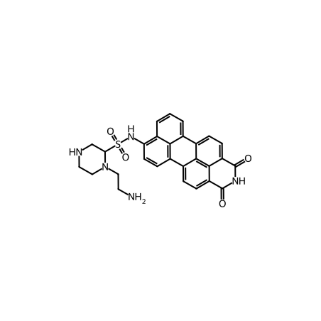 NCCN1CCNCC1S(=O)(=O)Nc1ccc2c3ccc4c5c(ccc(c6cccc1c62)c53)C(=O)NC4=O